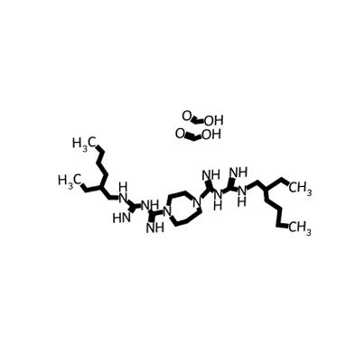 CCCCC(CC)CNC(=N)NC(=N)N1CCCN(C(=N)NC(=N)NCC(CC)CCCC)CC1.O=CO.O=CO